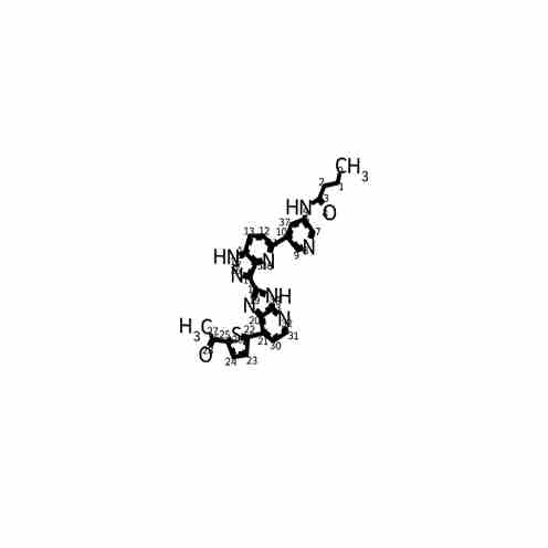 CCCC(=O)Nc1cncc(-c2ccc3[nH]nc(-c4nc5c(-c6ccc(C(C)=O)s6)ccnc5[nH]4)c3n2)c1